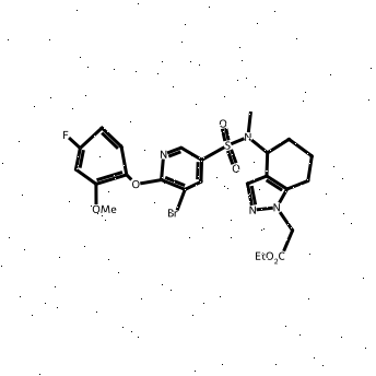 CCOC(=O)Cn1ncc2c1CCCC2N(C)S(=O)(=O)c1cnc(Oc2ccc(F)cc2OC)c(Br)c1